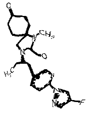 CC(c1ccc(-n2cc(F)cn2)nc1)N1CC2(CCC(=O)CC2)N(C)C1=O